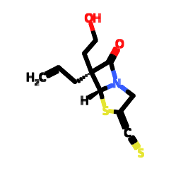 C=CC[C@]1(CCO)C(=O)N2CC(=C=S)S[C@@H]21